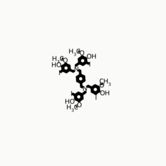 COc1cc(CN(Cc2ccc(CN(Cc3cc(I)c(O)c(OC)c3)Cc3cc(I)c(O)c(OC)c3)cc2)Cc2cc(I)c(O)c(OC)c2)cc(I)c1O